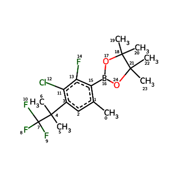 Cc1cc(C(C)(C)C(F)(F)F)c(Cl)c(F)c1B1OC(C)(C)C(C)(C)O1